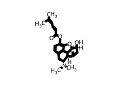 CC(C)=C/C=C/C(=O)Oc1ccc2c3c1O[C@H]1[C@@H](O)C=C4C[C@]31[C@@H]4[C@H](N(C)C)C2